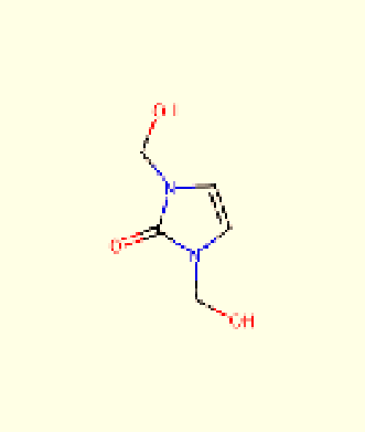 O=c1n(CO)ccn1CO